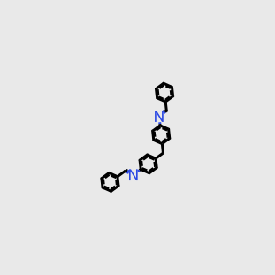 C(=Nc1ccc(Cc2ccc(N=Cc3ccccc3)cc2)cc1)c1ccccc1